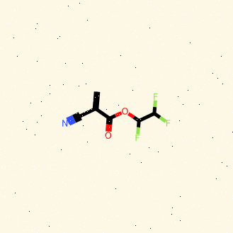 C=C(C#N)C(=O)OC(F)C(F)F